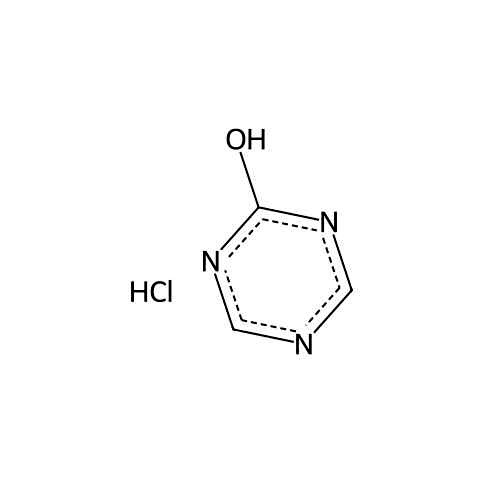 Cl.Oc1ncncn1